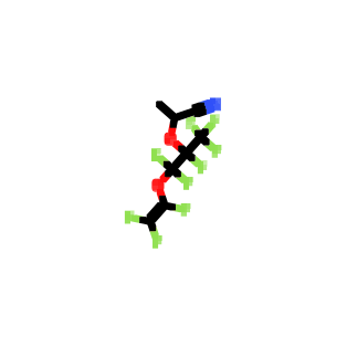 CC(C#N)OC(F)(C(F)(F)F)C(F)(F)OC(F)=C(F)F